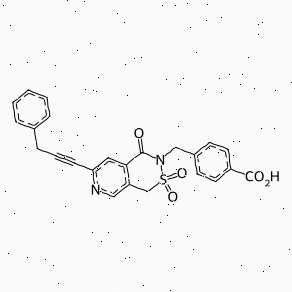 O=C(O)c1ccc(CN2C(=O)c3cc(C#CCc4ccccc4)ncc3CS2(=O)=O)cc1